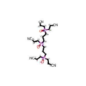 N#CCCP(=O)(CCC#N)CCCP(=O)(CCC#N)CCCP(=O)(CCC#N)CCC#N